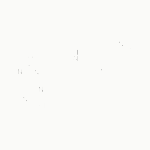 Cc1cc(C)c(OCCNC2CCC(n3c(=O)n(C)c4cnc(Cl)nc43)CC2)cc1N